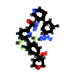 C[C@@H]1C[C@@H](N)C[C@H](c2ccncc2NC(=O)c2ccc(F)c(-c3c(F)cc(C4(O)CCOCC4)cc3F)n2)C1